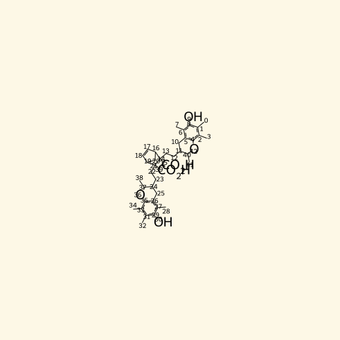 Cc1c(C)c2c(c(C)c1O)CC(CCC1(C(=O)O)C3C=CC(C3)C1(CCC1Cc3c(C)c(O)c(C)c(C)c3OC1C)C(=O)O)C(C)O2